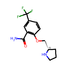 NC(=O)c1cc(C(F)(F)F)ccc1OC[C@@H]1CCCN1